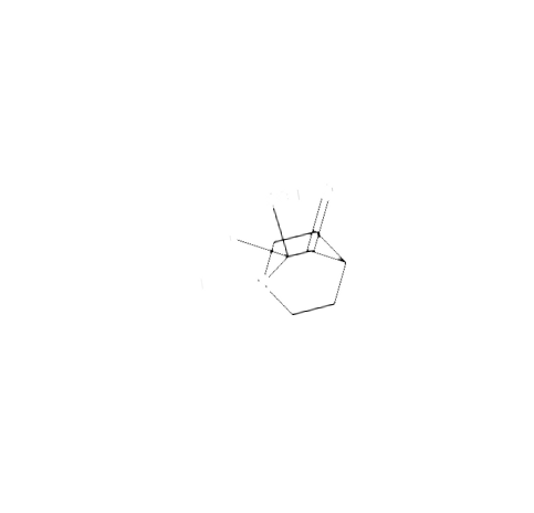 CCC1(C(=O)O)C(=O)C2CCN1CC2.Cl